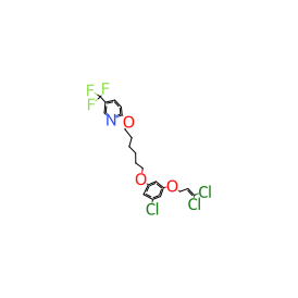 FC(F)(F)c1ccc(OCCCCCCOc2cc(Cl)cc(OCC=C(Cl)Cl)c2)nc1